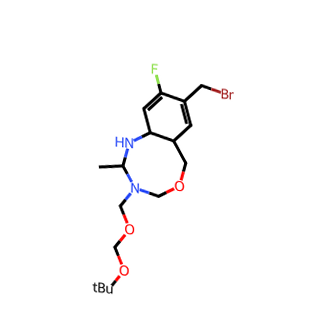 CC1NC2C=C(F)C(CBr)=CC2COCN1COCOC(C)(C)C